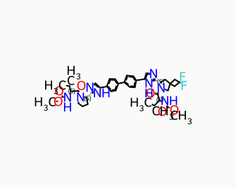 COC(=O)N[C@H](C(=O)N1CCC[C@H]1c1ncc(-c2ccc(-c3ccc(-c4cnc([C@@H]5CC6(CN5C(=O)[C@@H](NC(=O)OC)C(C)C)CC(F)(F)C6)[nH]4)cc3)cc2)[nH]1)C(C)C